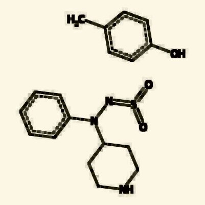 Cc1ccc(O)cc1.O=S(=O)=NN(c1ccccc1)C1CCNCC1